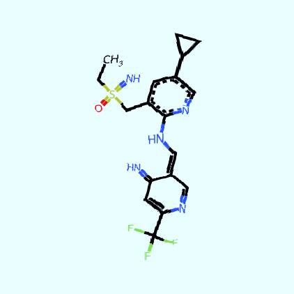 CCS(=N)(=O)Cc1cc(C2CC2)cnc1N/C=C1/C=NC(C(F)(F)F)=CC1=N